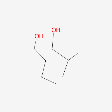 CC(C)CO.CCCCO